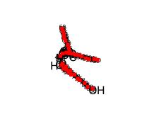 C1CO1.C=O.CC(C)(C)CC(C)(C)c1ccc(O)cc1.CCCCCCCCCCCCCCCC(=O)OC[C@H](COP(=O)([O-])OCC[N+](C)(C)C)OC(=O)CCCCCCCCCCCCCCC.CCCCCCCCCCCCCCCCO